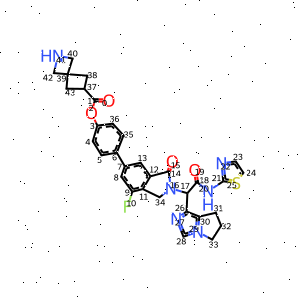 O=C(Oc1ccc(-c2cc(F)c3c(c2)C(=O)N(C(C(=O)Nc2nccs2)c2ncn4c2CCC4)C3)cc1)C1CC2(CNC2)C1